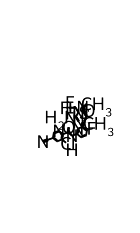 CN=S1(=O)C[C@@](C)(c2nc(NC(=O)c3ncc(C#N)cc3Cl)ccc2F)N=C(N)N1CC(F)(F)F